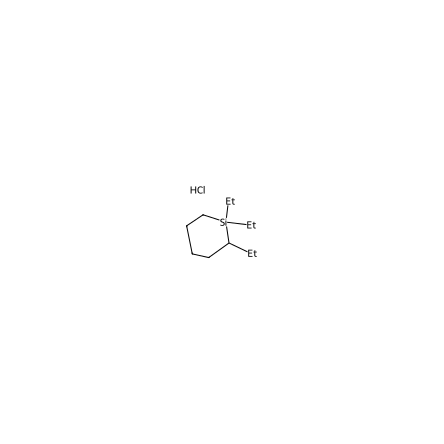 CCC1CCCC[Si]1(CC)CC.Cl